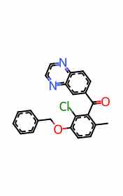 Cc1ccc(OCc2ccccc2)c(Cl)c1C(=O)c1ccc2nccnc2c1